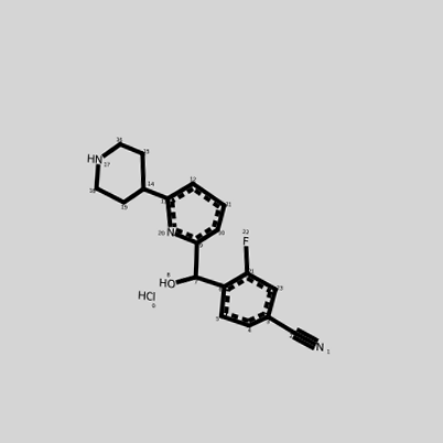 Cl.N#Cc1ccc(C(O)c2cccc(C3CCNCC3)n2)c(F)c1